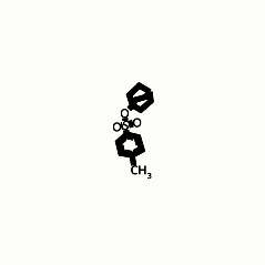 Cc1ccc(S(=O)(=O)OC23CCC(CC2)CC3)cc1